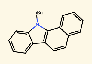 CCC(C)n1c2ccccc2c2ccc3ccccc3c21